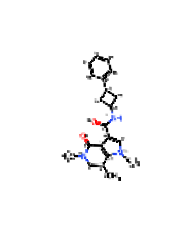 Cc1cn(C)c(=O)c2c(C(=O)NC3CC(c4ccccc4)C3)cn(C)c12